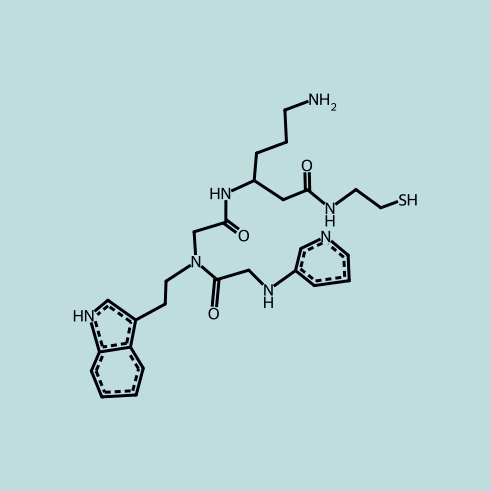 NCCCC(CC(=O)NCCS)NC(=O)CN(CCc1c[nH]c2ccccc12)C(=O)CNc1cccnc1